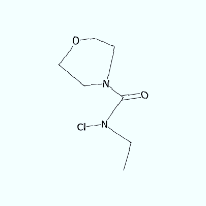 CCN(Cl)C(=O)N1CCOCC1